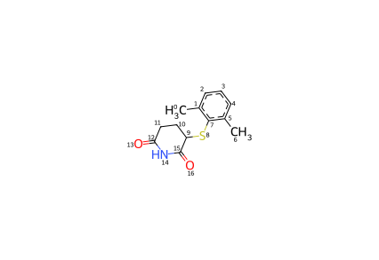 Cc1cccc(C)c1SC1CCC(=O)NC1=O